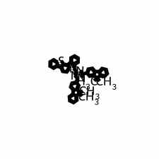 CC1(C)c2ccccc2-c2ccc(-c3nc(-c4ccc5c(c4)C(C)(C)c4ccccc4-5)nc(-n4c5ccccc5c5c6sc7ccccc7c6ccc54)n3)cc21